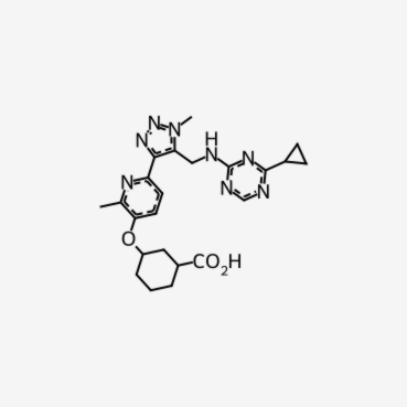 Cc1nc(-c2nnn(C)c2CNc2ncnc(C3CC3)n2)ccc1OC1CCCC(C(=O)O)C1